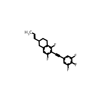 C/C=C/C1CCc2c(cc(F)c(C#Cc3cc(F)c(F)c(F)c3)c2F)C1